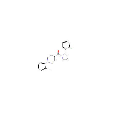 O=C(O)[C@@H]1CC[C@H](c2ccccc2Cl)N1C(=O)C1CCN(c2ccccc2[N+](=O)[O-])CC1